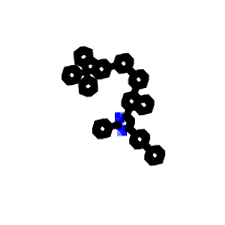 c1ccc(-c2ccc(-c3cc(-c4ccc(-c5cccc(-c6cccc(-c7ccc8c(c7)-c7ccccc7C8(c7ccccc7)c7ccccc7)c6)c5)c5ccccc45)nc(-c4ccccc4)n3)cc2)cc1